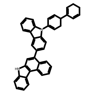 C1=CC(C2C=CC(n3c4ccccc4c4cc(-c5cc6[nH]c7ccccc7c6c6ccccc56)ccc43)=CC2)=CCC1